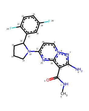 CNC(=O)c1c(N)nn2ccc(N3CCCC3c3cc(F)ccc3F)nc12